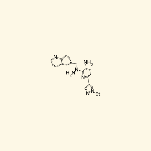 CCn1cc(-c2ccc(N)c(N(N)Cc3ccc4ncccc4c3)n2)cn1